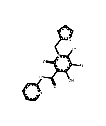 CCc1c(O)c(C(=O)Nc2ccccn2)c(=O)n(Cc2ccco2)c1CC